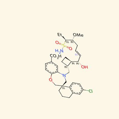 CC[C@@H]([C@@H](C/C=C/[C@H](O)[C@@H]1CC[C@H]1CN1C[C@@]2(CCCc3cc(Cl)ccc32)COc2ccc(C(=O)O)cc21)OC)S(N)(=O)=O